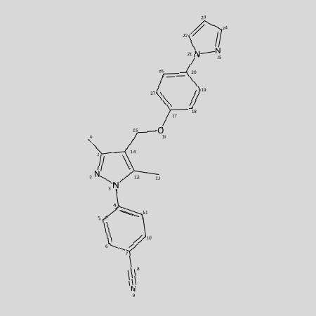 Cc1nn(-c2ccc(C#N)cc2)c(C)c1COc1ccc(-n2cccn2)cc1